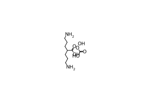 NCCCC(CCCN)C(=O)O.O=C(O)OO